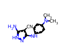 CN(C)c1ccc(Nc2n[nH]c(N)c2C#N)cc1